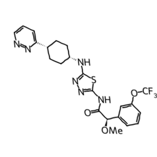 CO[C@@H](C(=O)Nc1nnc(N[C@H]2CC[C@@H](c3cccnn3)CC2)s1)c1cccc(OC(F)(F)F)c1